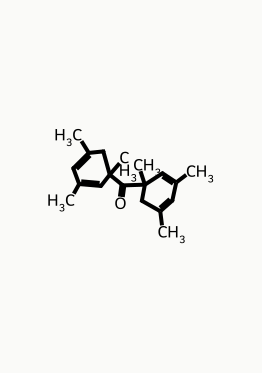 CC1=CC(C)(C(=O)C2(C)C=C(C)C=C(C)C2)CC(C)=C1